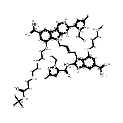 CCn1nc(C)cc1C(=O)Nc1nc2cc(C(N)=O)cc(OCCCOC)c2n1C/C=C/Cn1c2nc(-c3cc(C)nn3CC)ncc2c2cc(C(N)=O)cc(OCCOCCOCCC(=O)OC(C)(C)C)c21